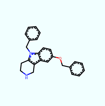 c1ccc(COc2ccc3c(c2)c2c(n3Cc3ccccc3)CCNC2)cc1